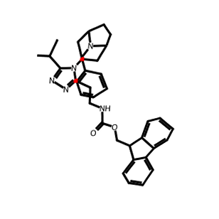 CC(C)c1nnc(CCNC(=O)OCC2c3ccccc3-c3ccccc32)n1C1CC2CCC(C1)N2Cc1ccccc1